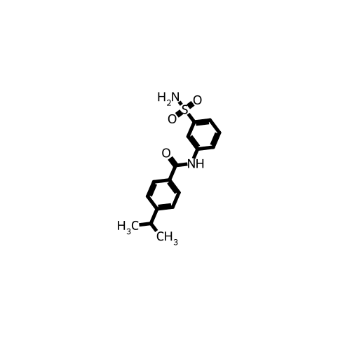 CC(C)c1ccc(C(=O)Nc2cccc(S(N)(=O)=O)c2)cc1